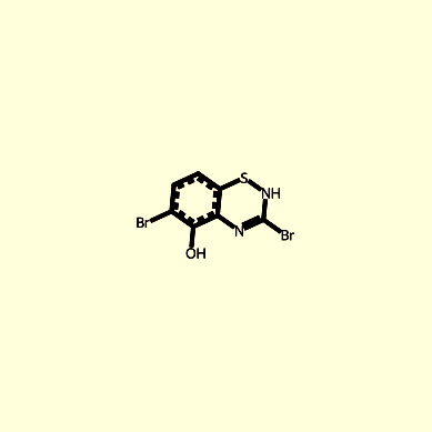 Oc1c(Br)ccc2c1N=C(Br)NS2